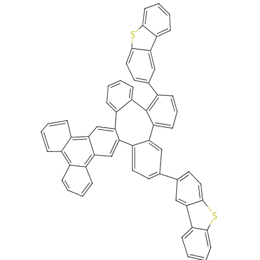 c1ccc2c(c1)-c1cc3c4ccccc4c4ccccc4c3cc1-c1ccc(-c3ccc4sc5ccccc5c4c3)cc1-c1cccc(-c3ccc4sc5ccccc5c4c3)c1-2